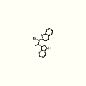 CCN(c1ccc2ccccc2n1)C(C)c1c[nH]c2ccccc12